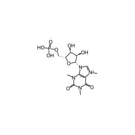 Cn1c(=O)c2c(n([C@@H]3O[C@H](COP(=O)(O)O)[C@@H](O)[C@H]3O)c[n+]2C)n(C)c1=O